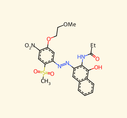 CCC(=O)Nc1c(N=Nc2cc(OCCOC)c([N+](=O)[O-])cc2S(C)(=O)=O)cc2ccccc2c1O